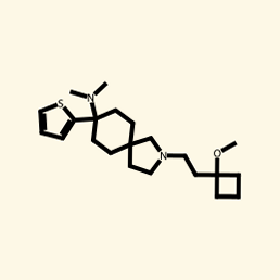 COC1(CCN2CCC3(CCC(c4cccs4)(N(C)C)CC3)C2)CCC1